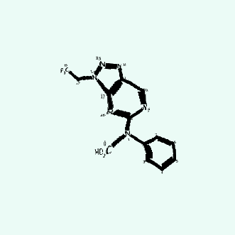 O=C(O)N(c1ccccc1)c1ncc2nnn(CC(F)(F)F)c2n1